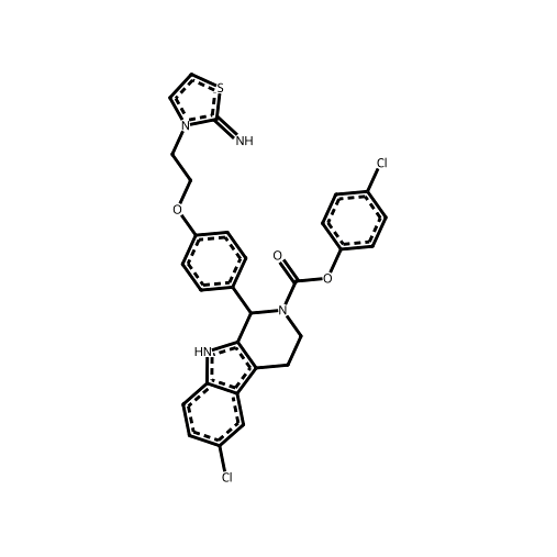 N=c1sccn1CCOc1ccc(C2c3[nH]c4ccc(Cl)cc4c3CCN2C(=O)Oc2ccc(Cl)cc2)cc1